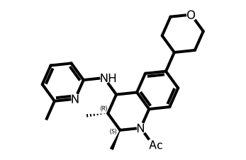 CC(=O)N1c2ccc(C3CCOCC3)cc2C(Nc2cccc(C)n2)[C@@H](C)[C@@H]1C